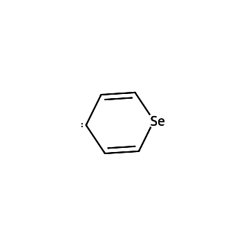 [C]1C=C[Se]C=C1